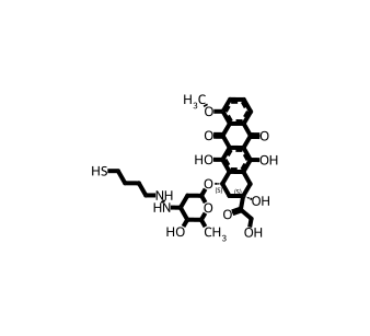 COc1cccc2c1C(=O)c1c(O)c3c(c(O)c1C2=O)C[C@@](O)(C(=O)CO)C[C@@H]3OC1CC(NNCCCCS)C(O)C(C)O1